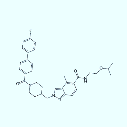 Cc1c(C(=O)NCCOC(C)C)ccc2nn(CC3CCN(C(=O)c4ccc(-c5ccc(F)cc5)cc4)CC3)cc12